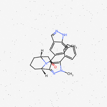 Cc1cc(C(=O)N2[C@@H]3CCC[C@H]2c2nn(C)c(-c4ccccc4)c2C3)cc2cn[nH]c12